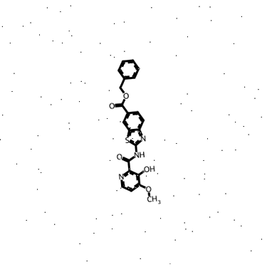 COc1ccnc(C(=O)Nc2nc3ccc(C(=O)OCc4ccccc4)cc3s2)c1O